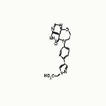 Nc1ncnc2c1C(=O)N(c1ccc(-c3cnn(CC(=O)O)c3)cc1)CCO2